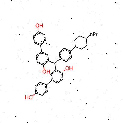 CCCC1CCC(c2ccc(C(c3cc(-c4ccc(O)cc4)ccc3O)c3cc(-c4ccc(O)cc4)ccc3O)cc2)CC1